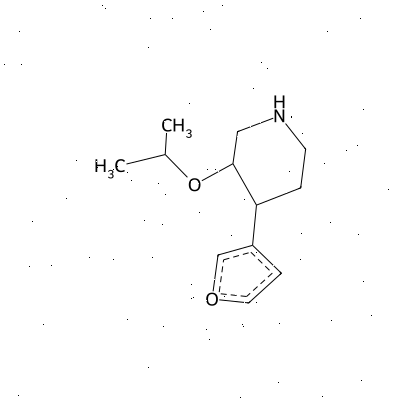 CC(C)OC1CNCCC1c1ccoc1